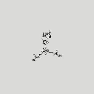 C[C@H]1C[C@@H](COP(=O)(OCCSC(=O)C(C)(C)C)OCCSC(=O)C(C)(C)C)O[C@H]1n1ccc(=O)[nH]c1=O